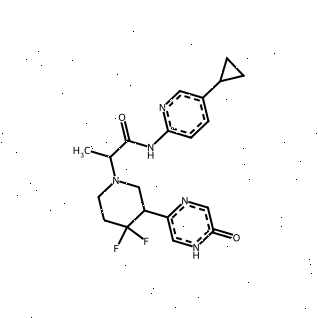 CC(C(=O)Nc1ccc(C2CC2)cn1)N1CCC(F)(F)C(c2c[nH]c(=O)cn2)C1